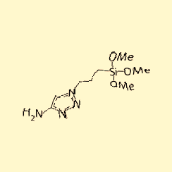 CO[Si](CCCn1cc(N)nn1)(OC)OC